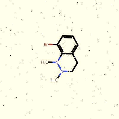 CN1CCc2cccc(Br)c2N1C